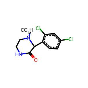 O=C1NCCN(C(=O)O)C1c1ccc(Cl)cc1Cl